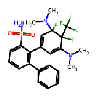 CN(C)C1=CC(c2c(-c3ccccc3)cccc2S(N)(=O)=O)=CC(F)(N(C)C)C1(F)C(F)(F)F